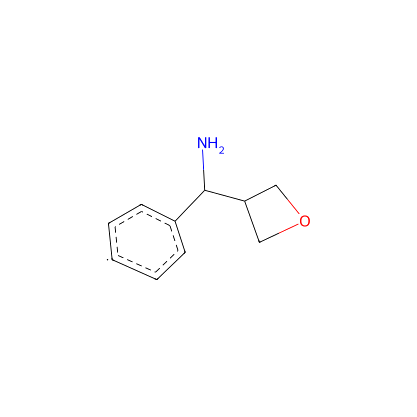 NC(c1cc[c]cc1)C1COC1